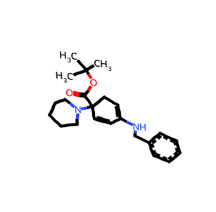 CC(C)(C)OC(=O)C1(N2CCCCC2)C=CC(NCc2ccccc2)=CC1